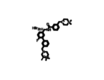 Br.Br.C[C@H]1CN(Cc2cccc(-c3cc(CNC(=O)c4cccc(C[C+]5CC[N+](C)(C)CC5)c4)ccc3F)c2)CC[N+]1(C)C